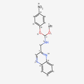 CCCOC(NCc1cnc2ccccc2n1)Oc1ccc([N+](=O)[O-])cc1